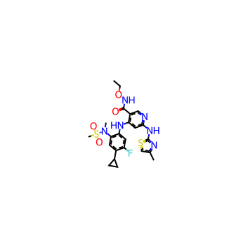 CCONC(=O)c1cnc(Nc2nc(C)cs2)cc1Nc1cc(F)c(C2CC2)cc1N(C)S(C)(=O)=O